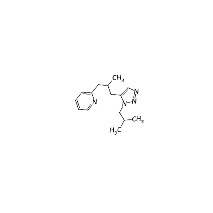 CC(C)Cn1nncc1CC(C)Cc1ccccn1